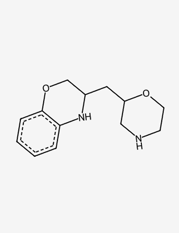 c1ccc2c(c1)NC(CC1CNCCO1)CO2